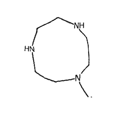 [CH2]N1CCNCCNCC1